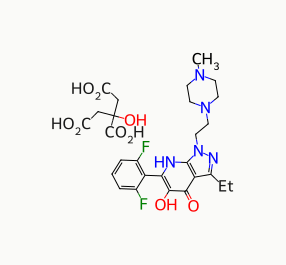 CCc1nn(CCN2CCN(C)CC2)c2[nH]c(-c3c(F)cccc3F)c(O)c(=O)c12.O=C(O)CC(O)(CC(=O)O)C(=O)O